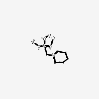 CCO[Si](CN1CCCCC1)(OCC)OCC